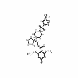 COc1cc(F)cc(C)c1C(=O)NCC1(N2CCN(S(=O)(=O)c3cn(C)nn3)CC2)CCCC1